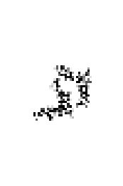 CC(C)N(C)Cc1nc2cc([C@H]3CC[C@H](C)CN3C(=O)C(=O)Nc3cnc(N)c(CCCN(C)CCc4nc5cc([C@@H]6CC[C@@H](C)CN6C(=O)C(=O)Nc6cncc(C(N)=O)c6)ccc5s4)c3)ccc2s1